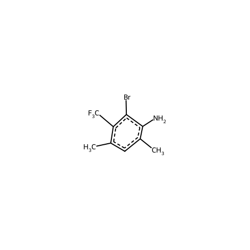 Cc1cc(C)c(C(F)(F)F)c(Br)c1N